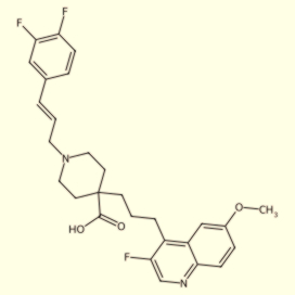 COc1ccc2ncc(F)c(CCCC3(C(=O)O)CCN(C/C=C/c4ccc(F)c(F)c4)CC3)c2c1